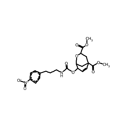 COC(=O)C1CC2(C(=O)OC)C=CC(OC(=O)NCCCc3ccc([N+](=O)[O-])cc3)C(C2)O1